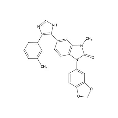 Cc1cccc(-c2nc[nH]c2-c2ccc3c(c2)n(C)c(=O)n3-c2ccc3c(c2)OCO3)c1